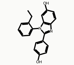 CCc1ccccc1-n1c(-c2ccc(O)cc2)nc2ccc(O)cc21